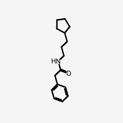 O=C(Cc1ccccc1)NCCCC1CCCC1